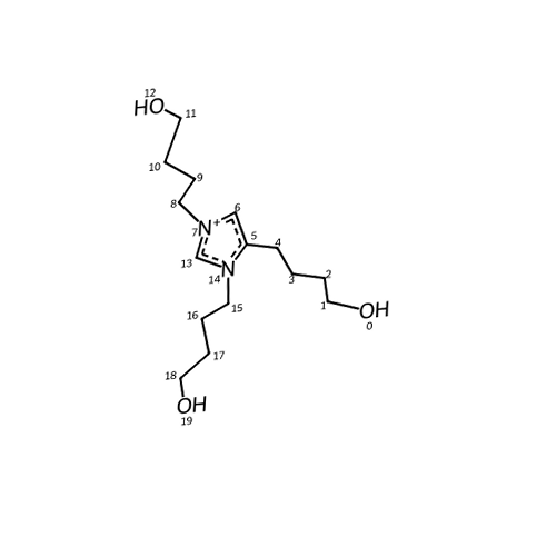 OCCCCc1c[n+](CCCCO)cn1CCCCO